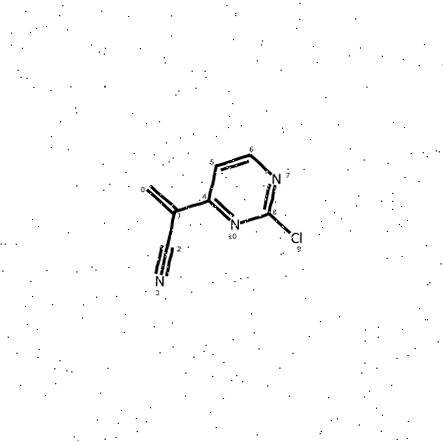 C=C(C#N)c1ccnc(Cl)n1